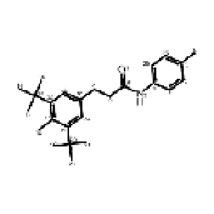 Cc1ccc(NC(=O)CCc2cc(C(C)(C)C)c(C)c(C(C)(C)C)c2)cc1